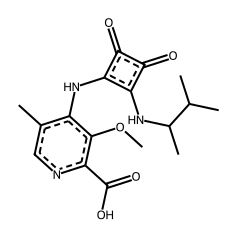 COc1c(C(=O)O)ncc(C)c1Nc1c(NC(C)C(C)C)c(=O)c1=O